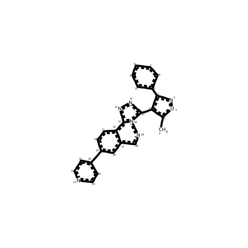 Cc1onc(-c2ccccc2)c1-c1nnc2c3ccc(-c4ccncc4)cc3cnn12